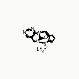 C.O=C1N2c3ncncc3CN1[S+]([O-])C1C3CCC1C2C3